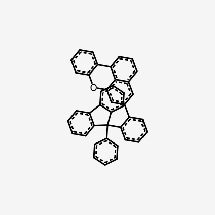 c1ccc(C2(c3ccccc3-c3cc4c5c(cccc5c3)-c3ccccc3O4)c3ccccc3-c3ccccc32)cc1